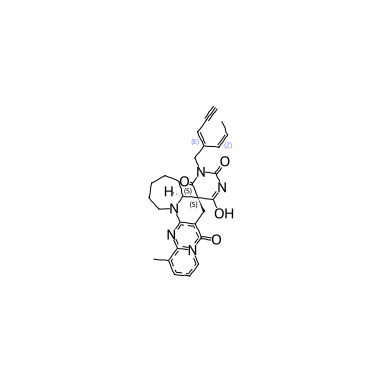 C#C/C=C(\C=C/C)CN1C(=O)N=C(O)[C@@]2(Cc3c(nc4c(C)cccn4c3=O)N3CCCCC[C@H]32)C1=O